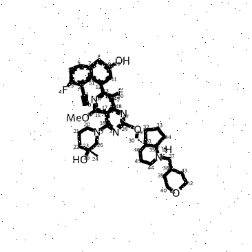 C#Cc1c(F)ccc2cc(O)cc(-c3nc(OC)c4c(N5CCC[C@@](C)(O)C5)nc(OC[C@]56CCC[C@H]5N(CC5CCOCC5)CCC6)nc4c3F)c12